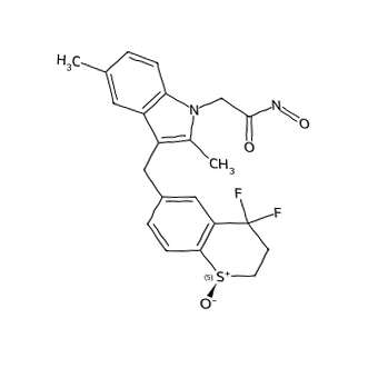 Cc1ccc2c(c1)c(Cc1ccc3c(c1)C(F)(F)CC[S@@+]3[O-])c(C)n2CC(=O)N=O